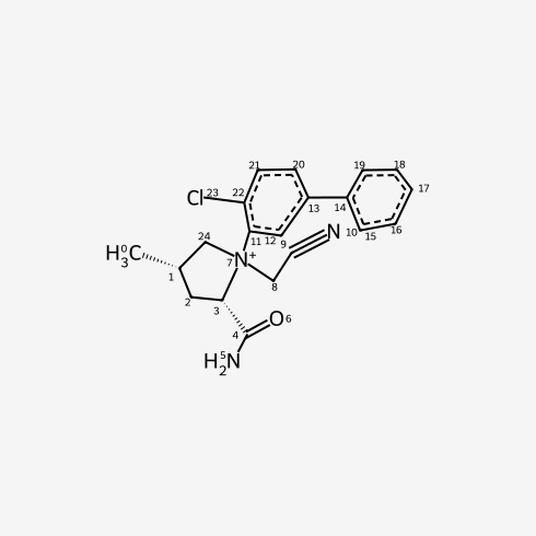 C[C@H]1C[C@@H](C(N)=O)[N+](CC#N)(c2cc(-c3ccccc3)ccc2Cl)C1